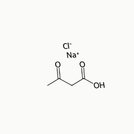 CC(=O)CC(=O)O.[Cl-].[Na+]